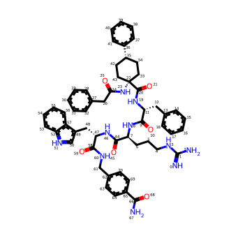 N=C(N)NCCC[C@H](NC(=O)[C@@H](Cc1ccccc1)NC(=O)[C@]1(NC(=O)Cc2ccccc2)CC[C@@H](c2ccccc2)CC1)C(=O)N[C@@H](Cc1c[nH]c2ccccc12)C(=O)NCc1ccc(C(N)=O)cc1